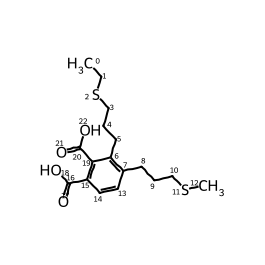 CCSCCCc1c(CCCSC)ccc(C(=O)O)c1C(=O)O